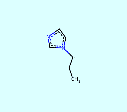 CC[CH]n1ccnc1